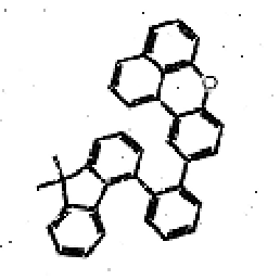 CC1(C)c2ccccc2-c2c(-c3ccccc3-c3ccc4c(c3)-c3cccc5cccc(c35)O4)cccc21